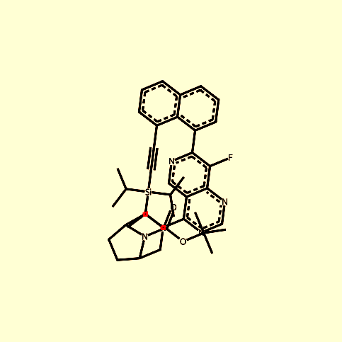 CC(C)[Si](C#Cc1cccc2cccc(-c3ncc4c(N5CC6CCC(C5)N6C(=O)OC(C)(C)C)ncnc4c3F)c12)(C(C)C)C(C)C